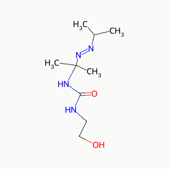 CC(C)/N=N/C(C)(C)NC(=O)NCCO